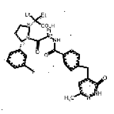 CC[C@@H](NC(=O)c1ccc(Cc2cc(C)n[nH]c2=O)cc1)C(=O)N1[C@H](c2cccc(F)c2)CC[C@@H]1C(CC)(CC)C(=O)O